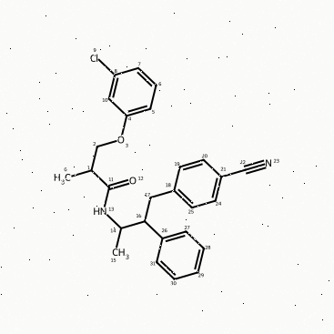 CC(COc1cccc(Cl)c1)C(=O)NC(C)C(Cc1ccc(C#N)cc1)c1ccccc1